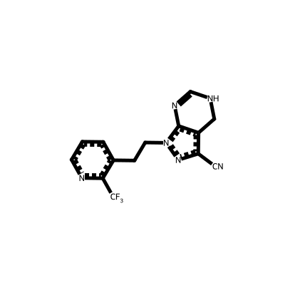 N#Cc1nn(CCc2cccnc2C(F)(F)F)c2c1CNC=N2